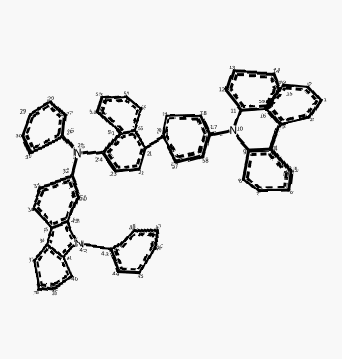 c1ccc(-c2ccccc2N(c2ccccc2)c2ccc(-c3ccc(N(c4ccccc4)c4ccc5c6ccccc6n(-c6ccccc6)c5c4)c4ccccc34)cc2)cc1